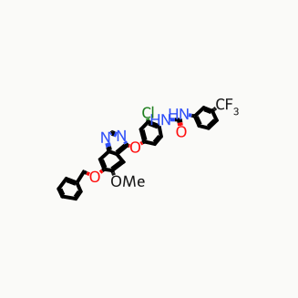 COc1cc2c(Oc3ccc(NC(=O)Nc4cccc(C(F)(F)F)c4)c(Cl)c3)ncnc2cc1OCc1ccccc1